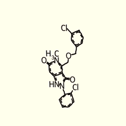 Cn1c(COCc2cccc(Cl)c2)c2c(=O)n(-c3ccccc3Cl)[nH]c2cc1=O